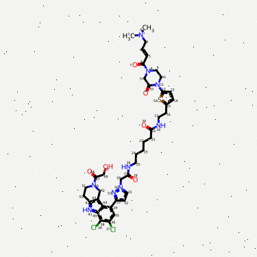 CN(C)C/C=C/C(=O)N1CCN(c2ccc(CCNC(=O)CCCCCNC(=O)Cn3ccc(-c4cc(Cl)c(Cl)c5[nH]c6c(c45)CN(C(=O)CO)CC6)n3)s2)C(=O)C1